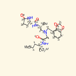 CC[C@H](C)[C@@H](CN(CC(=O)N[C@@H](CCSC)C(=O)O)Cc1cccc2c1OCO2)NC(=O)[C@@H]1CCC(=O)N1